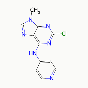 Cn1cnc2c(Nc3ccncc3)nc(Cl)nc21